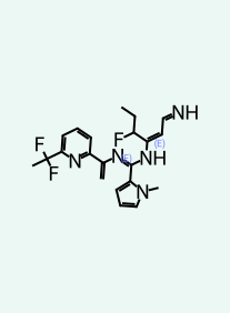 C=C(/N=C(/N/C(=C/C=N)C(F)CC)c1cccn1C)c1cccc(C(C)(F)F)n1